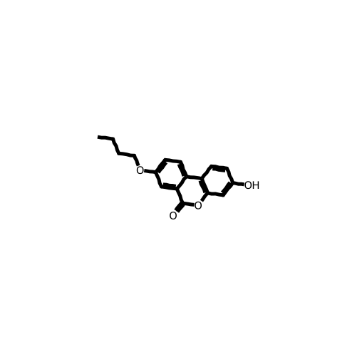 CCCCOc1ccc2c(c1)c(=O)oc1cc(O)ccc12